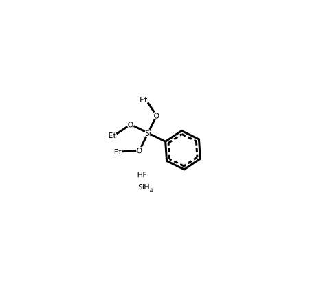 CCO[Si](OCC)(OCC)c1ccccc1.F.[SiH4]